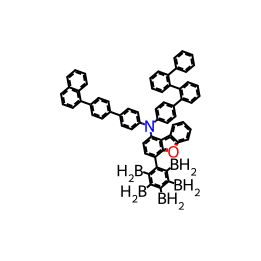 Bc1c(B)c(B)c(-c2ccc(N(c3ccc(-c4ccc(-c5cccc6ccccc56)cc4)cc3)c3ccc(-c4ccccc4-c4ccccc4-c4ccccc4)cc3)c3c2oc2ccccc23)c(B)c1B